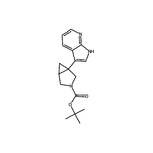 CC(C)(C)OC(=O)N1CC2CC2(c2c[nH]c3ncccc23)C1